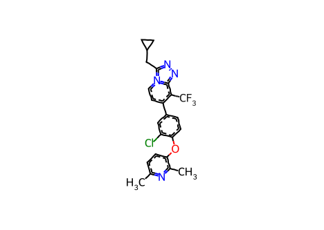 Cc1ccc(Oc2ccc(-c3ccn4c(CC5CC5)nnc4c3C(F)(F)F)cc2Cl)c(C)n1